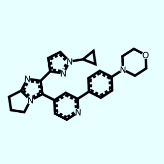 c1cc(-c2c(-c3ccn(C4CC4)n3)nc3n2CCC3)cc(-c2ccc(N3CCOCC3)cc2)n1